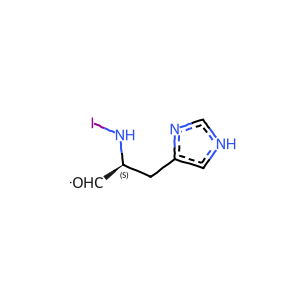 O=[C][C@H](Cc1c[nH]cn1)NI